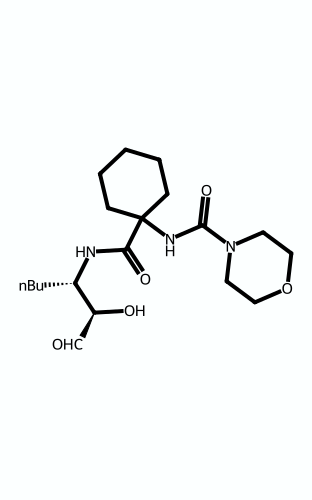 CCCC[C@H](NC(=O)C1(NC(=O)N2CCOCC2)CCCCC1)[C@@H](O)C=O